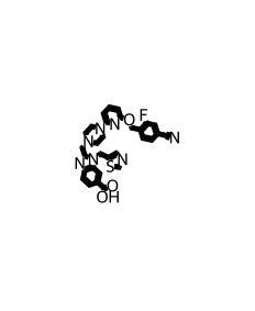 N#Cc1ccc(COc2cccc(N3CCN(Cc4nc5ccc(C(=O)O)cc5n4Cc4cncs4)CC3)n2)c(F)c1